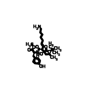 CCC[C@@](O)(C(=O)OC(C)(C)C)[C@H](/C=C/CCCCCN)C(=O)N[C@@H](Cc1ccc(O)cc1)C(=O)OC